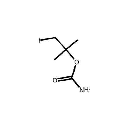 CC(C)(CI)OC([NH])=O